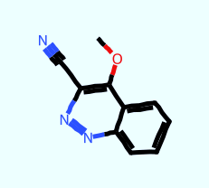 COc1c(C#N)nnc2ccccc12